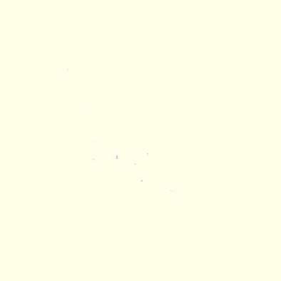 C/C(=C\C=C\c1ccncc1)[C@@H](C)NC(=O)[C@H](O)[C@@H](O)C(=O)N1CCCC1c1ccccc1